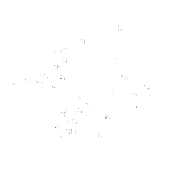 CC(C)(N)COc1cc(C#N)c2c(c1)CC(CN1CCC3(CC1)CN(c1cnc4c(n1)NC(=O)CO4)C(=O)O3)C2.CN(CCC1CN(c2cnc3c(n2)NC(=O)CO3)C(=O)O1)C1Cc2c(F)cc(OCC3(N)CC3)c(F)c2C1.O=CO.O=CO